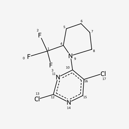 FC(F)(F)C1CCCCN1c1nc(Cl)ncc1Cl